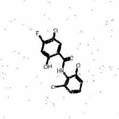 O=C(Nc1c(Cl)cccc1Cl)c1cc(Cl)c(F)cc1O